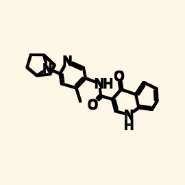 Cc1cc(N2C3CCC2CC3)ncc1NC(=O)c1c[nH]c2ccccc2c1=O